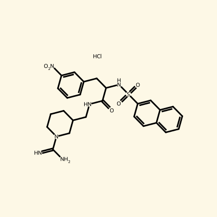 Cl.N=C(N)N1CCCC(CNC(=O)C(Cc2cccc([N+](=O)[O-])c2)NS(=O)(=O)c2ccc3ccccc3c2)C1